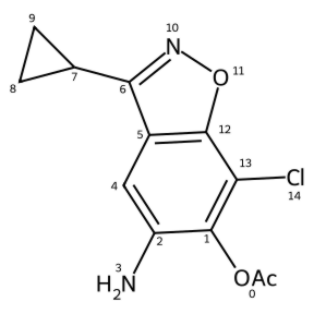 CC(=O)Oc1c(N)cc2c(C3CC3)noc2c1Cl